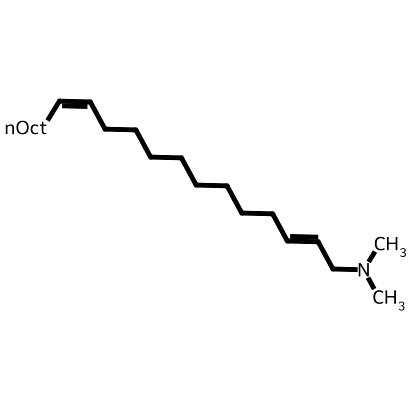 CCCCCCCC/C=C\CCCCCCCCC=CCN(C)C